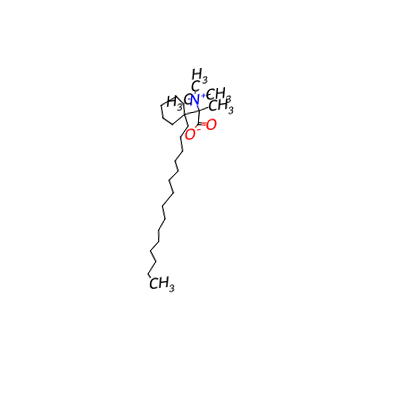 CCCCCCCCCCCCCCCC1(C(C)(C(=O)[O-])[N+](C)(C)C)CCCCC1